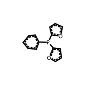 c1ccc(P(c2ccco2)c2ccco2)cc1